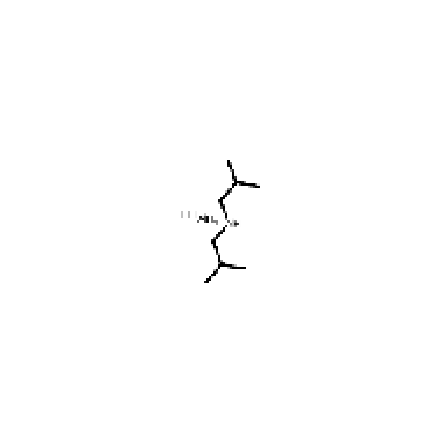 CC(C)[CH2][AlH][CH2]C(C)C.[AlH3].[HH]